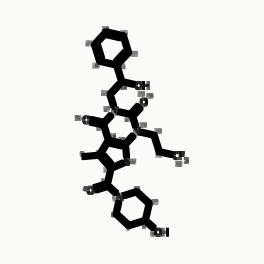 Cc1c(C(=O)N2CCC(O)CC2)sc2c1c(=O)n(CC(O)c1ccccc1)c(=O)n2CCC(F)(F)F